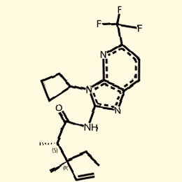 C=C[C@@](C)(CC)[C@H](C)C(=O)Nc1nc2ccc(C(F)(F)F)nc2n1C1CCC1